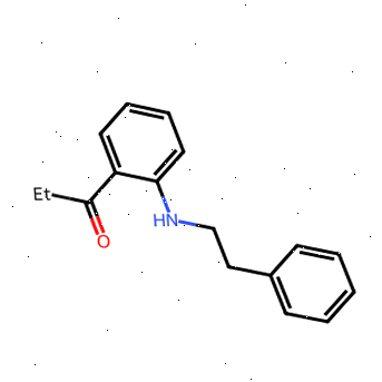 CCC(=O)c1ccccc1NCCc1ccccc1